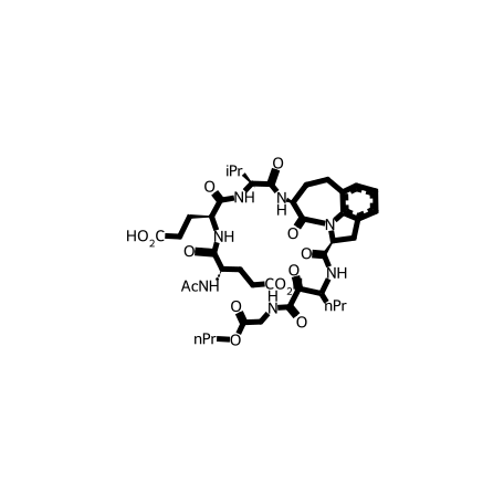 CCCOC(=O)CNC(=O)C(=O)C(CCC)NC(=O)[C@@H]1Cc2cccc3c2N1C(=O)[C@@H](NC(=O)[C@@H](NC(=O)[C@H](CCC(=O)O)NC(=O)[C@H](CCC(=O)O)NC(C)=O)C(C)C)CC3